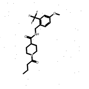 CCCC(=O)N1CCC(C(=O)NCc2ccc(OC)cc2C(F)(F)F)CC1